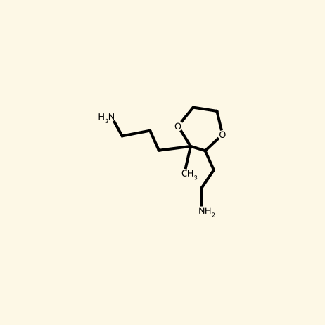 CC1(CCCN)OCCOC1CCN